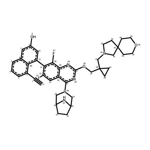 C#Cc1cccc2cc(O)cc(-c3c(F)cc4c(N5CC6CCC(C5)N6)nc(OCC5(CN6CCC7(CCOCC7)C6)CC5)nc4c3F)c12